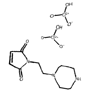 O=C1C=CC(=O)N1CCN1CCNCC1.[O-][Cl+2]([O-])O.[O-][Cl+2]([O-])O